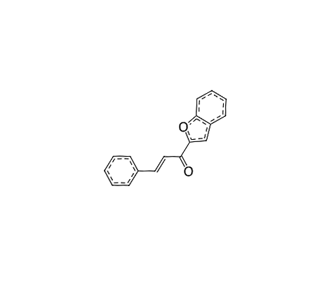 O=C(C=Cc1ccccc1)c1cc2ccccc2o1